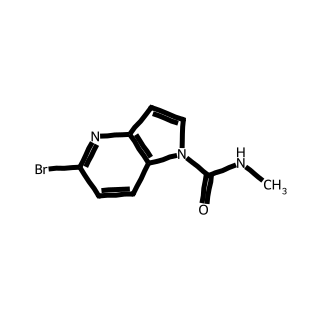 CNC(=O)n1ccc2nc(Br)ccc21